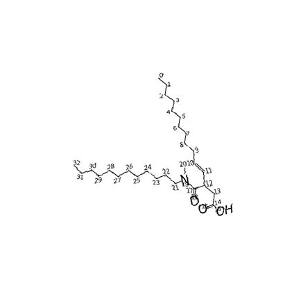 CCCCCCCCCCC=CC(CC(=O)O)C(=O)N(C)CCCCCCCCCCCC